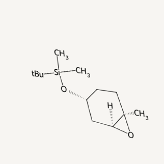 CC(C)(C)[Si](C)(C)O[C@@H]1CC[C@@]2(C)O[C@H]2C1